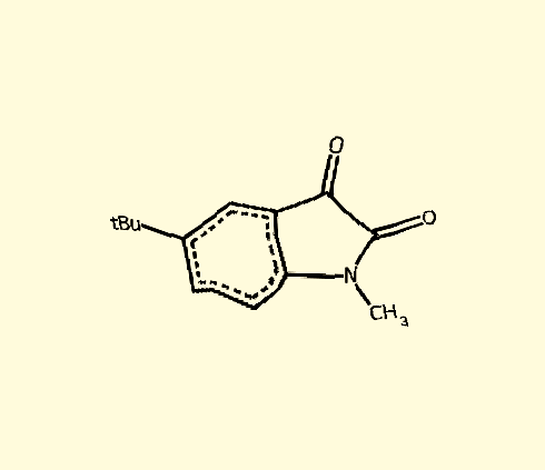 CN1C(=O)C(=O)c2cc(C(C)(C)C)ccc21